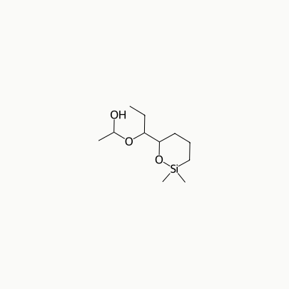 CCC(OC(C)O)C1CCC[Si](C)(C)O1